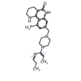 C/C=C(\N=C/CC)N1CCN(Cc2cc(P)c3c4c(c(=O)[nH]c3c2)CCCN4)CC1